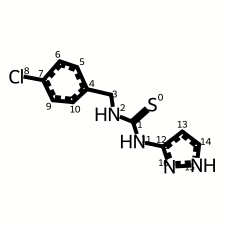 S=C(NCc1ccc(Cl)cc1)Nc1cc[nH]n1